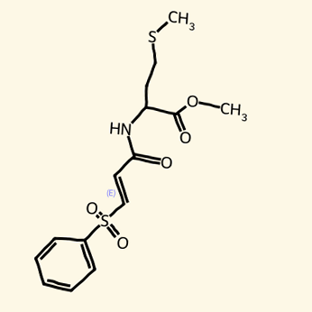 COC(=O)C(CCSC)NC(=O)/C=C/S(=O)(=O)c1ccccc1